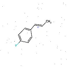 C/C=C/c1ccc(F)cc1